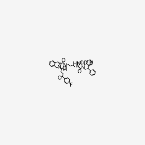 O=C(O)N[C@@H](CCCCNC(=O)[C@@H]1Cc2ccccc2CN1C(=O)CCC(=O)c1ccc(F)cc1)C(=O)NCC(c1ccccc1)c1ccccc1